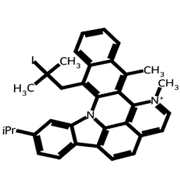 Cc1c2ccccc2c(CC(C)(C)I)c2c1c1c3c(ccc4c5ccc(C(C)C)cc5n2c43)cc[n+]1C